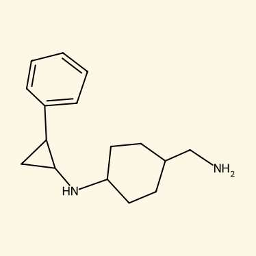 NCC1CCC(NC2CC2c2ccccc2)CC1